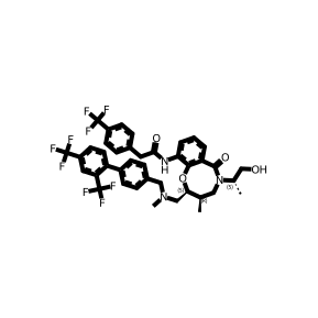 C[C@@H]1CN([C@@H](C)CO)C(=O)c2cccc(NC(=O)Cc3ccc(C(F)(F)F)cc3)c2O[C@@H]1CN(C)Cc1ccc(-c2ccc(C(F)(F)F)cc2C(F)(F)F)cc1